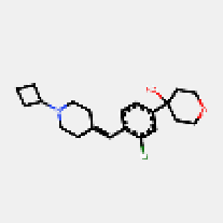 OC1(c2ccc(C=C3CCN(C4CCC4)CC3)c(Cl)c2)CCOCC1